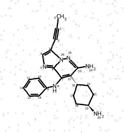 CC#Cc1cnc2c(Nc3ccccc3)c([C@H]3CC[C@H](N)CC3)c(N)nn12